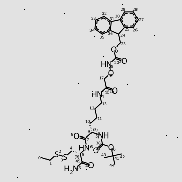 CCSSC[C@H](NC(=O)[C@H](CCCCNC(=O)CONC(=O)OCC1c2ccccc2-c2ccccc21)NC(=O)OC(C)(C)C)C(N)=O